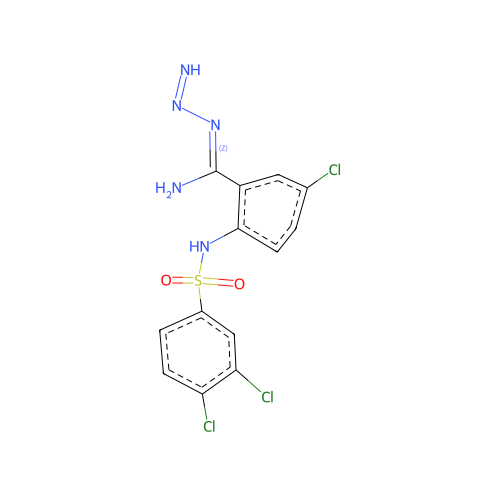 N=N/N=C(\N)c1cc(Cl)ccc1NS(=O)(=O)c1ccc(Cl)c(Cl)c1